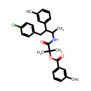 CC(=O)Oc1cccc(C(=O)OC(C)(C)C(=O)NC(C)C(Cc2ccc(Cl)cc2)c2cccc(C#N)c2)c1